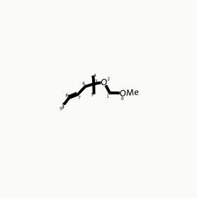 COCOC(C)(C)CC=CI